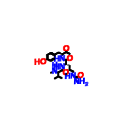 CN[C@H](C(=O)N[C@@H](CCCNC(N)=O)C(=O)N[C@@H](Cc1ccc(O)cc1)C(C)=O)C(C)C